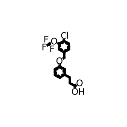 O=C(O)CCc1cccc(OCc2ccc(Cl)c(OC(F)(F)F)c2)c1